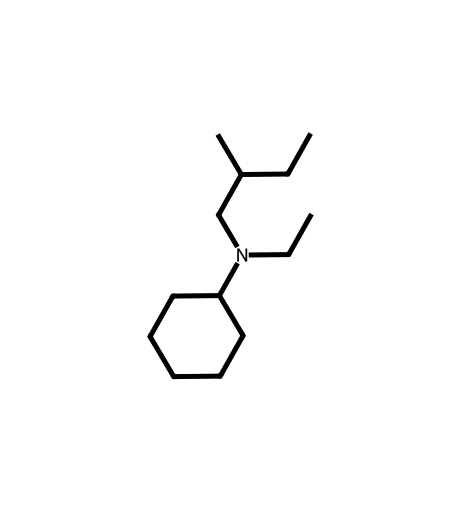 CCC(C)CN(CC)C1CCCCC1